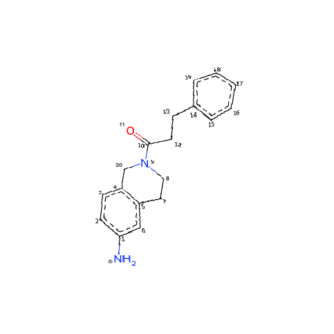 Nc1ccc2c(c1)CCN(C(=O)CCc1ccccc1)C2